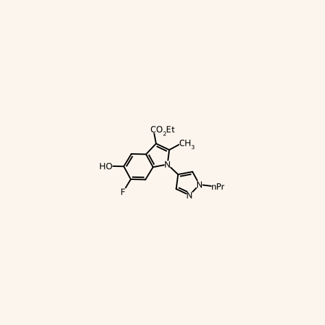 CCCn1cc(-n2c(C)c(C(=O)OCC)c3cc(O)c(F)cc32)cn1